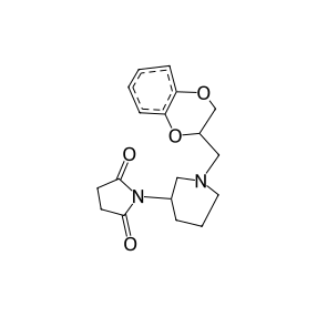 O=C1CCC(=O)N1C1CCCN(CC2COc3ccccc3O2)C1